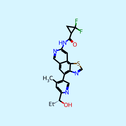 CC[C@@H](O)c1cc(C)c(-c2cc3cnc(NC(=O)C4CC4(F)F)cc3c3scnc23)cn1